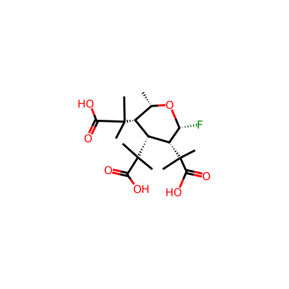 C[C@@H]1O[C@H](F)[C@H](C(C)(C)C(=O)O)[C@H](C(C)(C)C(=O)O)[C@@H]1C(C)(C)C(=O)O